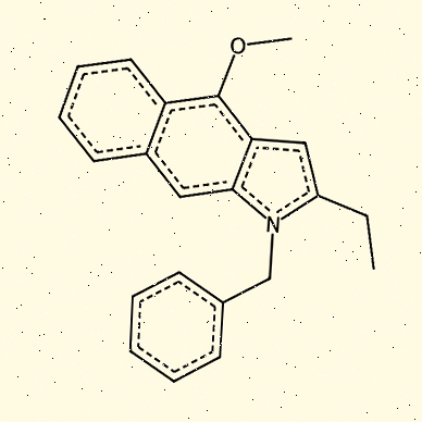 CCc1cc2c(OC)c3ccccc3cc2n1Cc1ccccc1